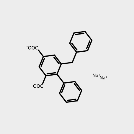 O=C([O-])c1cc(Cc2ccccc2)c(-c2ccccc2)c(C(=O)[O-])c1.[Na+].[Na+]